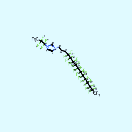 FC(F)(F)C(F)(F)C(F)(F)n1cc[n+](CCCC(F)(F)C(F)(F)C(F)(F)C(F)(F)C(F)(F)C(F)(F)C(F)(F)C(F)(F)C(F)(F)C(F)(F)C(F)(F)C(F)(F)F)c1